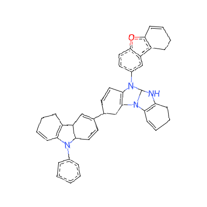 C1=CC2=C(CC1)NC1N2C2=C(C=CC(C3=CC4C5=C(C=CCC5)N(c5ccccc5)C4C=C3)C2)N1c1ccc2oc3c(c2c1)CCC=C3